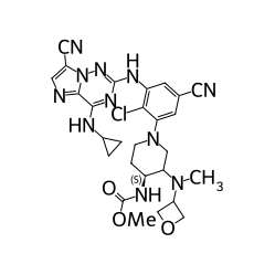 COC(=O)N[C@H]1CCN(c2cc(C#N)cc(Nc3nc(NC4CC4)c4ncc(C#N)n4n3)c2Cl)CC1N(C)C1COC1